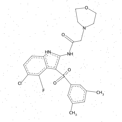 Cc1cc(C)cc(S(=O)(=O)c2c(NC(=O)CN3CCOCC3)[nH]c3ccc(Cl)c(F)c23)c1